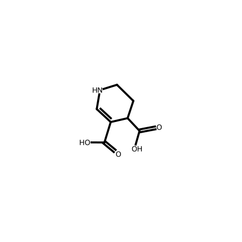 O=C(O)C1=CNCCC1C(=O)O